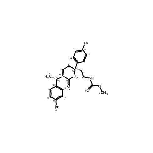 COC(=O)NCC[C@@]1(c2ccc(F)cc2)CCN([C@@H](C)c2ccc(Br)cc2)C(=O)O1